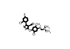 Cc1cc(Oc2snc(-c3ccc(F)cc3Cl)c2C#N)c(Cl)cc1N=CN(C)C